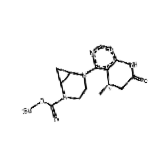 C[C@@H]1CC(=O)Nc2ncnc(N3CCN(C(=O)OC(C)(C)C)C4CC43)c21